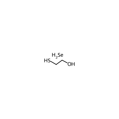 OCCS.[SeH2]